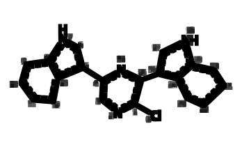 Clc1ncc(-c2c[nH]c3ccccc23)nc1-c1c[nH]c2ccccc12